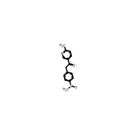 Cc1ccc(C(=O)Cc2ccc([S+](C)[O-])cc2)cn1